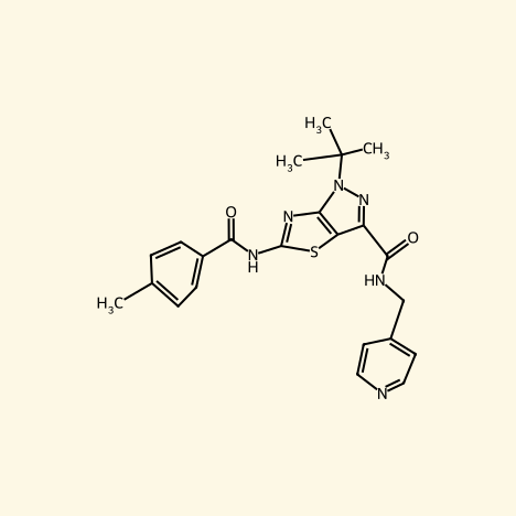 Cc1ccc(C(=O)Nc2nc3c(s2)c(C(=O)NCc2ccncc2)nn3C(C)(C)C)cc1